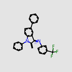 C=C1/C(=N\c2cccc(C(F)(F)F)c2)c2cc(-c3ccccc3)ccc2N1c1ccccc1